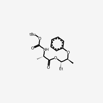 CC[C@H](OC(=O)[C@H](C)NC(=O)OC(C)(C)C)[C@H](C)Oc1ccccc1